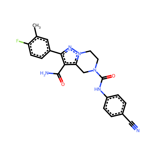 Cc1cc(-c2nn3c(c2C(N)=O)CN(C(=O)Nc2ccc(C#N)cc2)CC3)ccc1F